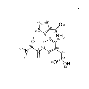 CN(C)C(=O)Nc1cccc(CC(=O)O)c1.NC(=O)c1ccsc1